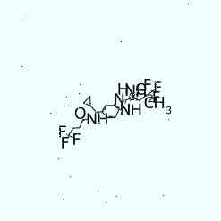 CC(C)(C[C@H](N)c1nc2cc(C(NC(=O)CCC(F)(F)F)C3CC3)ccc2[nH]1)C(F)(F)F